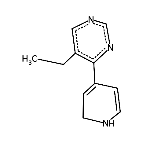 CCc1cncnc1C1=CCNC=C1